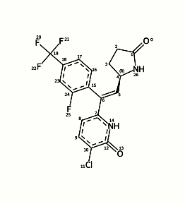 O=C1CC[C@H](C=C(c2ccc(Cl)c(=O)[nH]2)c2ccc(C(F)(F)F)cc2F)N1